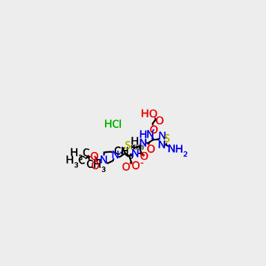 CC(C)(C)OC(=O)N1CC[N+](C)(CC2=C(C(=O)[O-])N3C(=O)[C@@H](NC(=O)C(=NOCC(=O)O)c4nsc(N)n4)[C@@H]3SC2)CC1.Cl